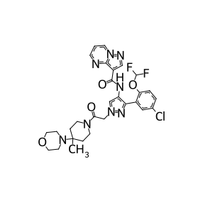 CC1(N2CCOCC2)CCN(C(=O)Cn2cc(NC(=O)c3cnn4cccnc34)c(-c3cc(Cl)ccc3OC(F)F)n2)CC1